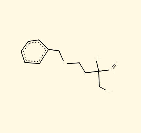 CCC(C)(CCOCc1ccccc1)P=O